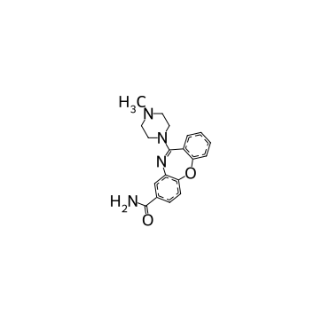 CN1CCN(C2=Nc3cc(C(N)=O)ccc3Oc3ccccc32)CC1